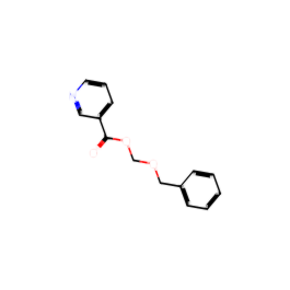 O=C(OCOCc1ccccc1)c1cccnc1